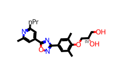 CCCc1cc(-c2nc(-c3cc(C)c(OC[C@@H](O)CO)c(C)c3)no2)cc(C)n1